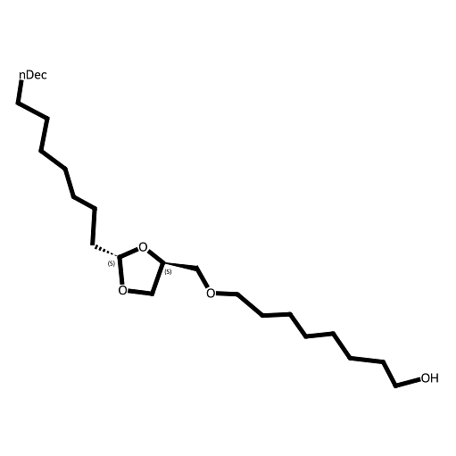 CCCCCCCCCCCCCCCCC[C@H]1OC[C@H](COCCCCCCCCO)O1